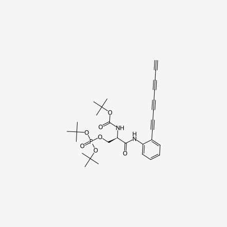 C#CC#CC#CC#Cc1ccccc1NC(=O)[C@@H](COP(=O)(OC(C)(C)C)OC(C)(C)C)NC(=O)OC(C)(C)C